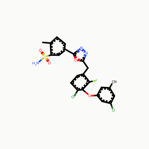 Cc1ccc(-c2nnc(Cc3ccc(Cl)c(Oc4cc(Cl)cc(C#N)c4)c3F)o2)cc1S(N)(=O)=O